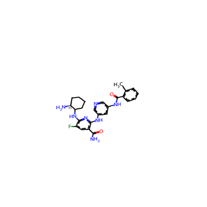 Cc1ccccc1C(=O)Nc1cncc(Nc2nc(NC3CCCC[C@@H]3N)c(F)cc2C(N)=O)c1